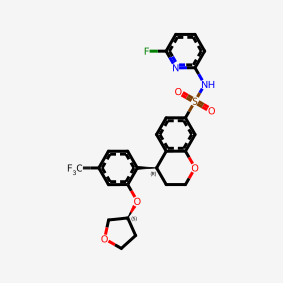 O=S(=O)(Nc1cccc(F)n1)c1ccc2c(c1)OCC[C@H]2c1ccc(C(F)(F)F)cc1O[C@H]1CCOC1